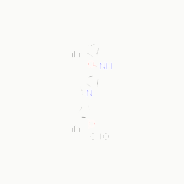 Cc1c(C)n(Cc2cccc(O[C@@H](C=O)C(C)C)c2)c2ccc(C(=O)N[C@@H](C)c3cccc(C(C)C)c3)cc12